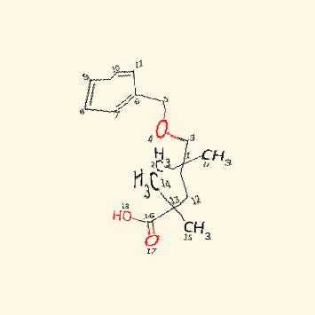 CC(C)(COCc1ccccc1)CC(C)(C)C(=O)O